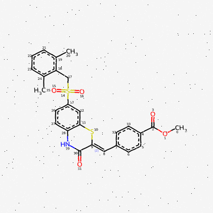 COC(=O)c1ccc(/C=C2\Sc3cc(S(=O)(=O)Cc4c(C)cccc4C)ccc3NC2=O)cc1